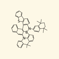 CC1(C)CCC(C)(C)c2cc(N3B4c5cccc6c5N(c5ccccc5C6(C)C)c5cc6ccccc6c(c54)-c4c3ccc3c4sc4ccccc43)ccc21